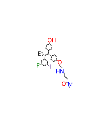 CC/C(=C(\c1ccc(O)cc1)c1ccc(OCCNC/C=C/C(=O)N(C)C)cc1)c1cc(F)cc(I)c1